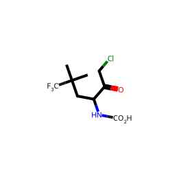 CC(C)(CC(NC(=O)O)C(=O)CCl)C(F)(F)F